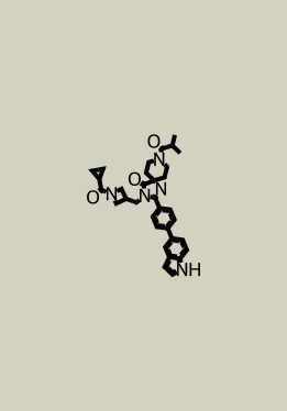 CC(C)C(=O)N1CCC2(CC1)N=C(c1ccc(-c3ccc4[nH]ccc4c3)cc1)N(CC1CN(C(=O)C3CC3)C1)C2=O